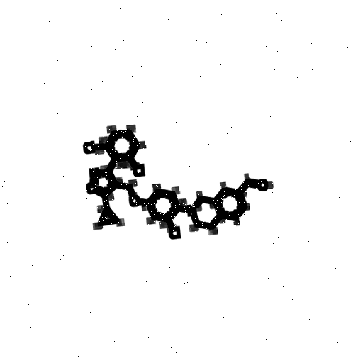 O=Cc1ccc2c(c1)CN(c1ccc(OCc3c(-c4c(Cl)cccc4Cl)noc3C3CC3)cc1Cl)CC2